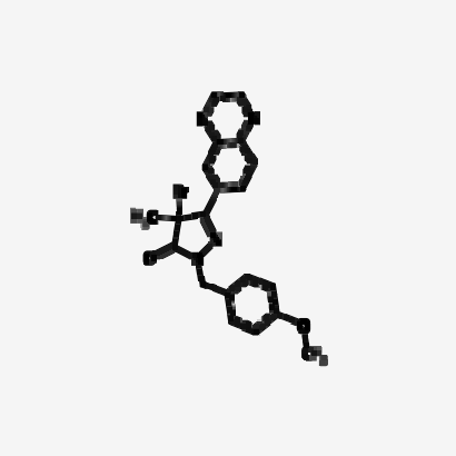 CC1(Br)C(=O)N(Cc2ccc(OC(F)(F)F)cc2)N=C1c1ccc2nccnc2c1